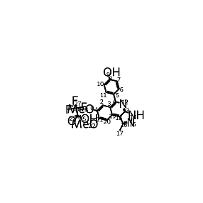 COc1cc2c(-c3ccc(O)cc3)nc3[nH]nc(C)c3c2cc1OC.O=C(O)C(F)(F)F